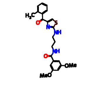 COc1cc(OC)cc(C(=O)NCCCNc2nc(C(=O)c3ccccc3C)cs2)c1